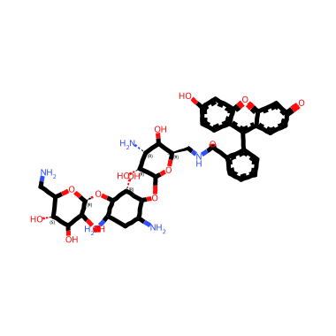 NCC1O[C@H](OC2C(N)CC(N)C(OC3O[C@H](CNC(=O)c4ccccc4-c4c5ccc(=O)cc-5oc5cc(O)ccc45)C(O)[C@@H](N)[C@H]3O)[C@H]2O)C(O)C(O)[C@@H]1O